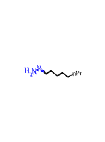 CCCCCCCC=NN